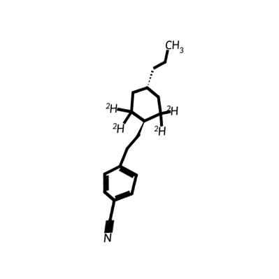 [2H]C1([2H])C[C@H](CCC)CC([2H])([2H])[C@H]1CCc1ccc(C#N)cc1